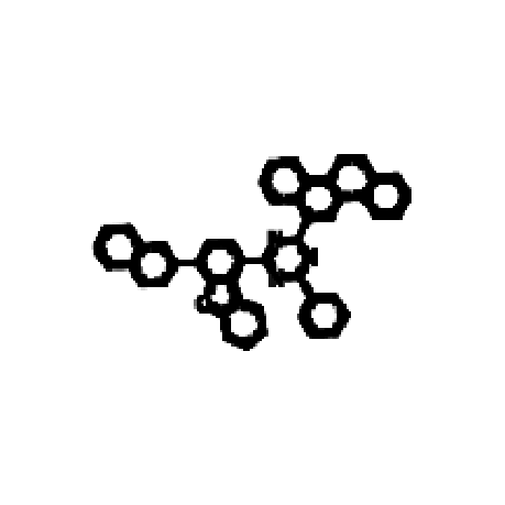 c1ccc(-c2nc(-c3cc4c5ccccc5ccc4c4ccccc34)nc(-c3ccc(-c4ccc5ccccc5c4)c4oc5ccccc5c34)n2)cc1